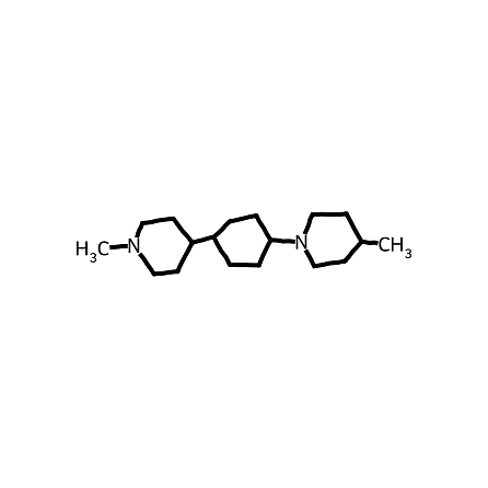 CC1CCN(C2CCC(C3CCN(C)CC3)CC2)CC1